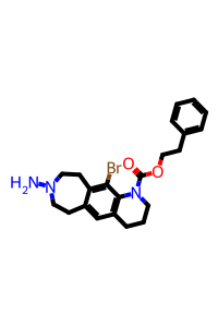 NN1CCc2cc3c(c(Br)c2CC1)N(C(=O)OCCc1ccccc1)CCC3